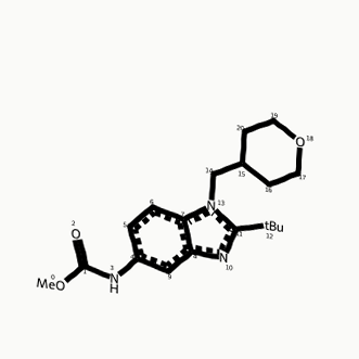 COC(=O)Nc1ccc2c(c1)nc(C(C)(C)C)n2CC1CCOCC1